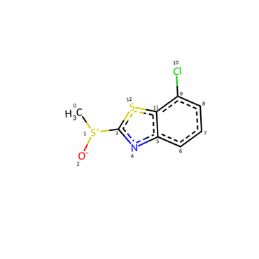 C[S+]([O-])c1nc2cccc(Cl)c2s1